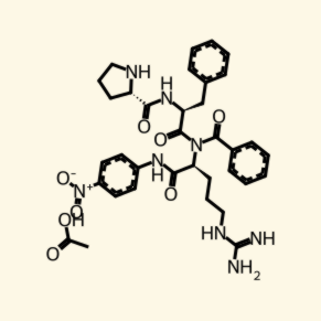 CC(=O)O.N=C(N)NCCC[C@@H](C(=O)Nc1ccc([N+](=O)[O-])cc1)N(C(=O)c1ccccc1)C(=O)[C@H](Cc1ccccc1)NC(=O)[C@@H]1CCCN1